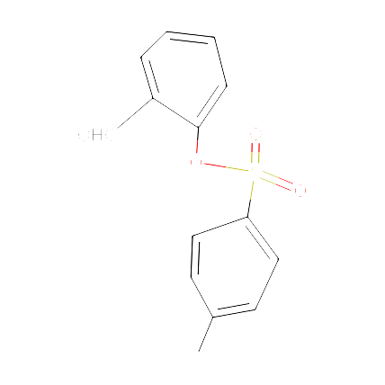 Cc1ccc(S(=O)(=O)Oc2ccccc2C=O)cc1